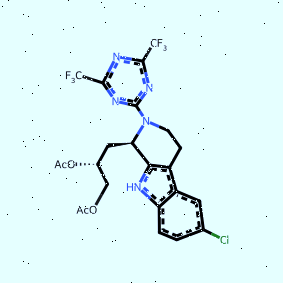 CC(=O)OC[C@@H](C[C@@H]1c2[nH]c3ccc(Cl)cc3c2CCN1c1nc(C(F)(F)F)nc(C(F)(F)F)n1)OC(C)=O